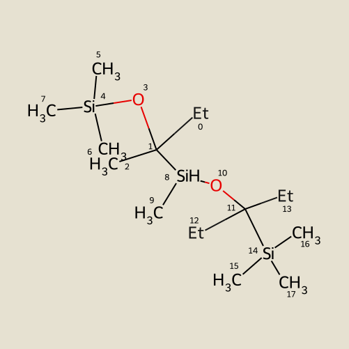 CCC(C)(O[Si](C)(C)C)[SiH](C)OC(CC)(CC)[Si](C)(C)C